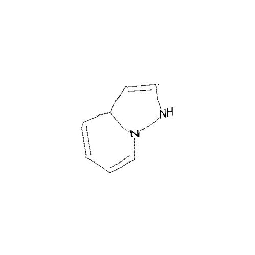 [C]1=CC2C=CC=CN2N1